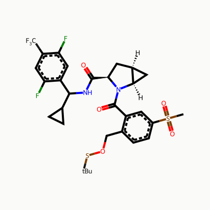 CC(C)(C)SOCc1ccc(S(C)(=O)=O)cc1C(=O)N1[C@@H](C(=O)NC(c2cc(F)c(C(F)(F)F)cc2F)C2CC2)C[C@H]2C[C@H]21